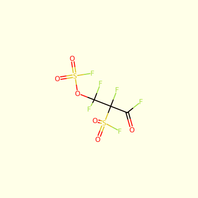 O=C(F)C(F)(C(F)(F)OS(=O)(=O)F)S(=O)(=O)F